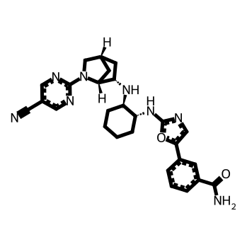 N#Cc1cnc(N2C[C@@H]3C[C@H](N[C@@H]4CCCC[C@H]4Nc4ncc(-c5cccc(C(N)=O)c5)o4)[C@H]2C3)nc1